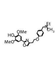 CCN(C)Cc1ccc(OCCc2coc(-c3cc(OC)c(O)c(OC)c3)n2)cc1